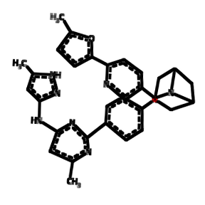 Cc1cc(Nc2cc(C)[nH]n2)nc(-c2ccc(N3CC4CC(C3)N4Cc3ccc(-c4ccc(C)o4)nc3)nc2)n1